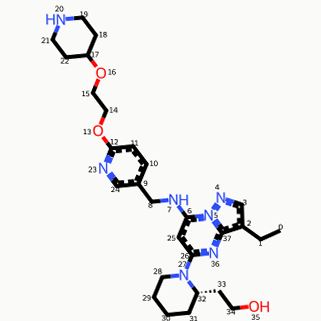 CCc1cnn2c(NCc3ccc(OCCOC4CCNCC4)nc3)cc(N3CCCC[C@H]3CCO)nc12